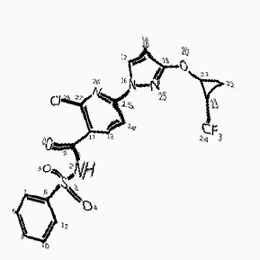 O=C(NS(=O)(=O)c1ccccc1)c1ccc(-n2ccc(OC3CC3C(F)(F)F)n2)nc1Cl